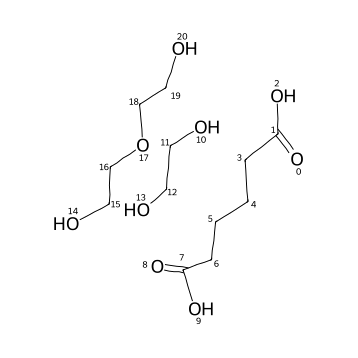 O=C(O)CCCCC(=O)O.OCCO.OCCOCCO